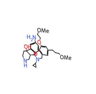 COCCCc1cc(CN(C(=O)[C@H]2CNCC[C@]2(O)c2cccc(N)c2)C2CC2)cc(OCCOC)c1